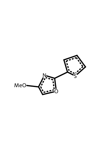 COc1coc(-c2cccs2)n1